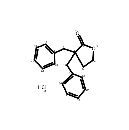 Cl.O=C1OCCC1(Cc1ccccc1)Cc1ccccc1